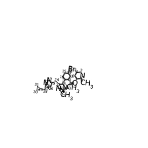 Cc1ncc(Br)cc1O[C@@H](C)c1cc(F)ccc1-c1nn(C)nc1Cc1cn(CC2CC2)nn1